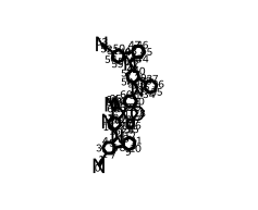 N#Cc1ccc2c(c1)c1ccccc1n2-c1cnc2c(c1)C1(c3ccccc3Oc3cc(-n4c5ccccc5c5cc(-n6c7ccccc7c7cc(C#N)ccc76)ccc54)ccc31)c1cccnc1-2